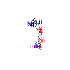 O=C(O)N(c1cc(CCCn2c(=O)oc3ccc(CNC[C@H](O)c4ccc(O)c5[nH]c(=O)ccc45)cc32)ccc1-c1ccccc1)[C@H]1CN2CCC1CC2